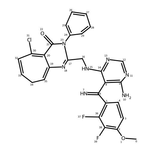 COc1ccc(C(=N)c2c(N)ncnc2NCc2nc3c(c(=O)n2-c2ccccc2)=C(Cl)C=CCC=3)c(F)c1F